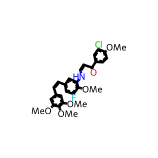 COc1ccc(C(=O)/C=C\Nc2cc(/C=C\c3cc(OC)c(OC)c(OC)c3)cc(F)c2OC)cc1Cl